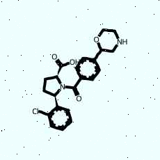 O=C(O)[C@@H]1CC[C@H](c2ccccc2Cl)N1C(=O)c1ccc(C2CNCCO2)cc1